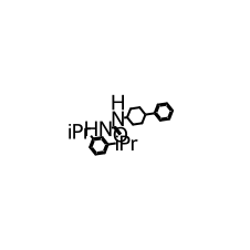 CC(C)c1cccc(C(C)C)c1NC(=O)NC1CCC(c2ccccc2)CC1